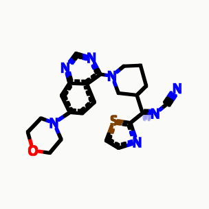 N#C/N=C(/c1nccs1)C1CCCN(c2ncnc3cc(N4CCOCC4)ccc23)C1